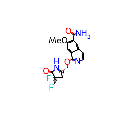 COc1cc2c(OC[C@@H]3C[C@@](F)(CF)C(=O)N3)nccc2cc1C(N)=O